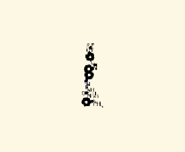 CC(C)c1ccccc1NC(=O)NS/N=C/c1ccc2c(ccc3c2ncn3-c2ccc(OC(F)(F)F)cc2)c1